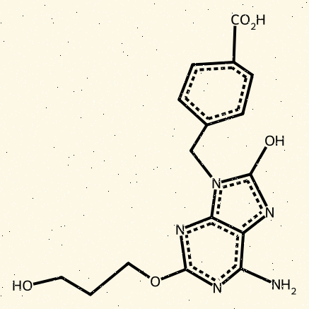 Nc1nc(OCCCO)nc2c1nc(O)n2Cc1ccc(C(=O)O)cc1